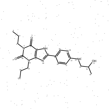 CCCn1c(=O)c2[nH]c(-c3ccc(NCC(C)O)nc3)nc2n(CCC)c1=O